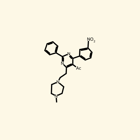 CC(=O)c1c(CCN2CCN(C)CC2)nc(-c2ccccc2)nc1-c1cccc([N+](=O)[O-])c1